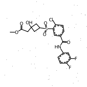 COC(=O)CC1(O)CC(S(=O)(=O)c2cc(C(=O)Nc3ccc(F)c(F)c3)ccc2Cl)C1